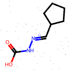 O=C(O)N/N=C/C1CCCC1